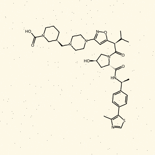 Cc1ncsc1-c1ccc([C@H](C)NC(=O)[C@@H]2C[C@@H](O)CN2C(=O)[C@@H](c2cc(N3CCN(C[C@@H]4CCCN(C(=O)O)C4)CC3)no2)C(C)C)cc1